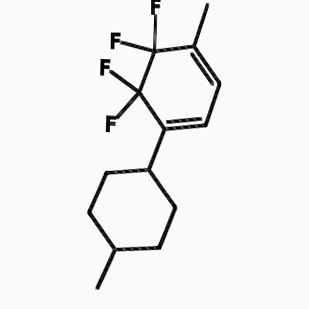 CC1=CC=C(C2CCC(C)CC2)C(F)(F)C1(F)F